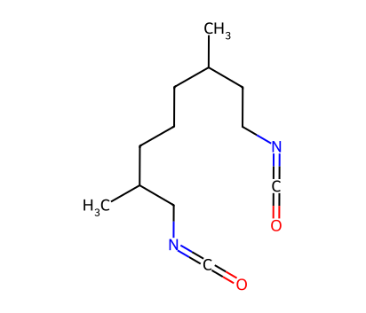 CC(CCCC(C)CN=C=O)CCN=C=O